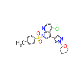 Cc1ccc(S(=O)(=O)n2cc(-c3cnn(C4CCCCO4)c3)c3c(Cl)ccnc32)cc1